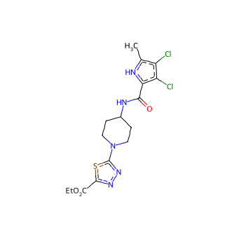 CCOC(=O)c1nnc(N2CCC(NC(=O)c3[nH]c(C)c(Cl)c3Cl)CC2)s1